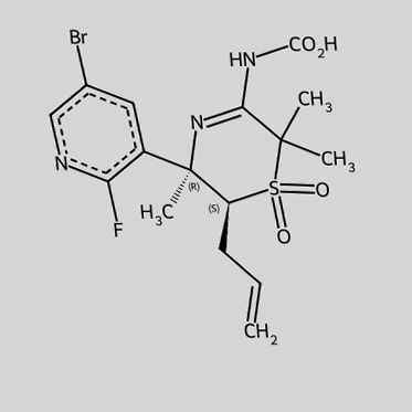 C=CC[C@H]1[C@@](C)(c2cc(Br)cnc2F)N=C(NC(=O)O)C(C)(C)S1(=O)=O